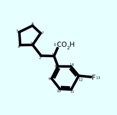 O=C(O)C(CC1CCCC1)c1cccc(F)c1